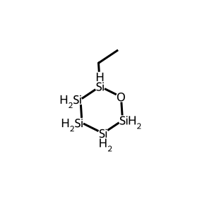 CC[SiH]1O[SiH2][SiH2][SiH2][SiH2]1